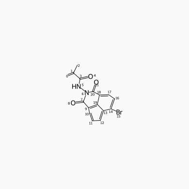 C=C(C)C(=O)NN1C(=O)c2cccc3c(Br)ccc(c23)C1=O